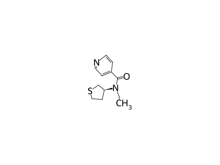 CCN(C(=O)c1ccncc1)[C@H]1CCSC1